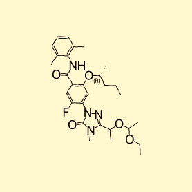 CCC[C@@H](C)Oc1cc(-n2nc(C(C)OC(C)OCC)n(C)c2=O)c(F)cc1C(=O)Nc1c(C)cccc1C